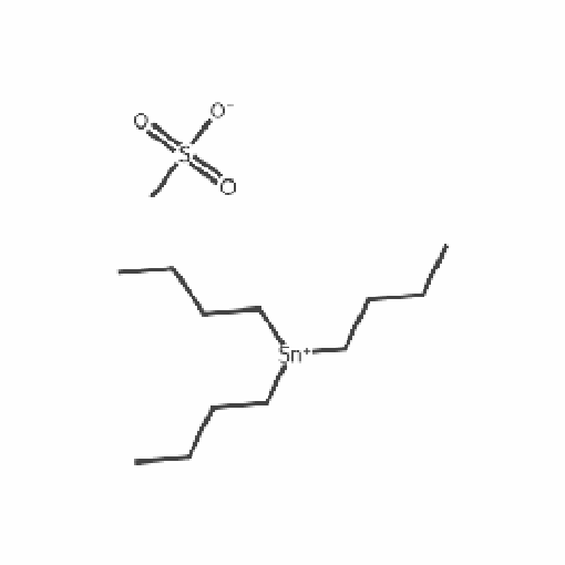 CCC[CH2][Sn+]([CH2]CCC)[CH2]CCC.CS(=O)(=O)[O-]